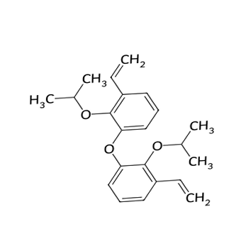 C=Cc1cccc(Oc2cccc(C=C)c2OC(C)C)c1OC(C)C